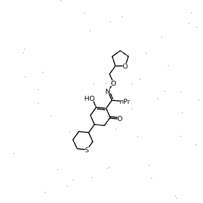 CCCC(=NOCC1CCCO1)C1=C(O)CC(C2CCCSC2)CC1=O